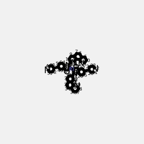 c1cnc2c(c1)ccc1ccc(N3/C(=C4\Oc5cc(-c6ccncc6)ccc5N4c4ccc5ccc6cccnc6c5n4)Oc4cc(-c5ccncc5)ccc43)nc12